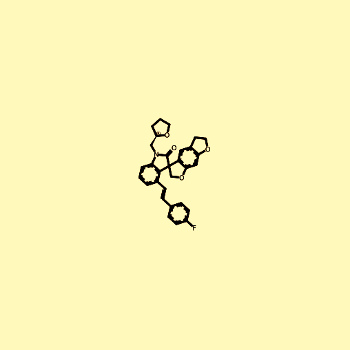 O=C1N(C[C@H]2CCCO2)c2cccc(C=Cc3ccc(F)cc3)c2C12COc1cc3c(cc12)CCO3